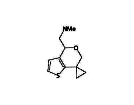 CNCC1OCC2(CC2)c2sccc21